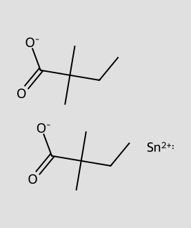 CCC(C)(C)C(=O)[O-].CCC(C)(C)C(=O)[O-].[Sn+2]